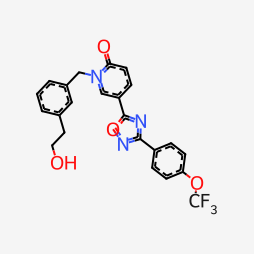 O=c1ccc(-c2nc(-c3ccc(OC(F)(F)F)cc3)no2)cn1Cc1cccc(CCO)c1